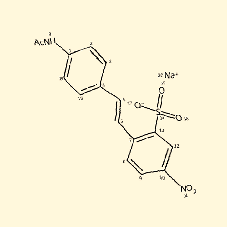 CC(=O)Nc1ccc(C=Cc2ccc([N+](=O)[O-])cc2S(=O)(=O)[O-])cc1.[Na+]